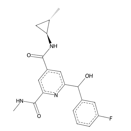 CNC(=O)c1cc(C(=O)N[C@H]2C[C@@H]2C)cc(C(O)c2cccc(F)c2)n1